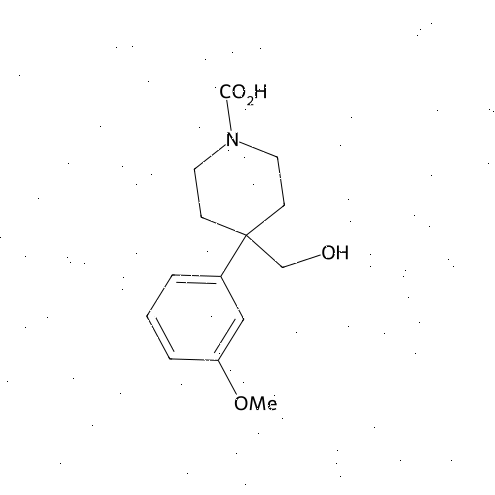 COc1cccc(C2(CO)CCN(C(=O)O)CC2)c1